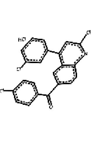 Cl.O=C(c1ccc(Cl)cc1)c1ccc2nc(Cl)cc(-c3cccc(Cl)c3)c2c1